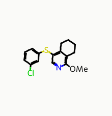 COc1ncc(Sc2cccc(Cl)c2)c2c1CCCC2